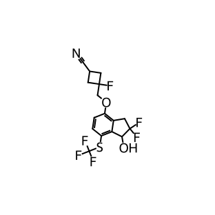 N#CC1CC(F)(COc2ccc(SC(F)(F)F)c3c2CC(F)(F)C3O)C1